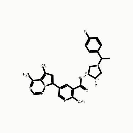 COc1ncc(-c2cc(C(F)(F)F)c3c(N)ncnn23)cc1C(=O)N[C@@H]1CN(C(C)c2ccc(F)cc2)C[C@@H]1F